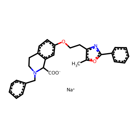 Cc1oc(-c2ccccc2)nc1CCOc1ccc2c(c1)C(C(=O)[O-])N(Cc1ccccc1)CC2.[Na+]